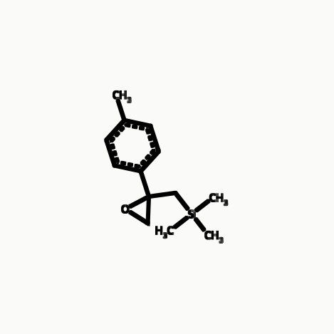 Cc1ccc(C2(C[Si](C)(C)C)CO2)cc1